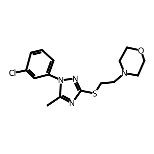 Cc1nc(SCCN2CCOCC2)nn1-c1cccc(Cl)c1